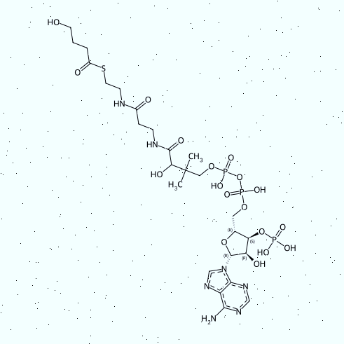 CC(C)(COP(=O)(O)OP(=O)(O)OC[C@H]1O[C@@H](n2cnc3c(N)ncnc32)[C@H](O)[C@@H]1OP(=O)(O)O)C(O)C(=O)NCCC(=O)NCCSC(=O)CCCO